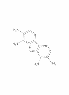 Nc1ccc2c(sc3c(N)c(N)ccc32)c1N